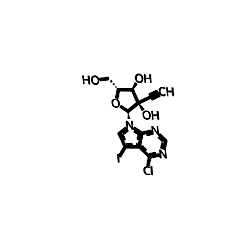 C#C[C@@]1(O)[C@H](O)[C@@H](CO)O[C@H]1n1cc(I)c2c(Cl)ncnc21